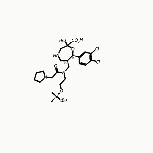 CC(C)(C)C1(C(=O)O)CNC[C@H](CN(CCO[Si](C)(C)C(C)(C)C)C(=O)CN2CCCC2)[C@H](c2ccc(Cl)c(Cl)c2)O1